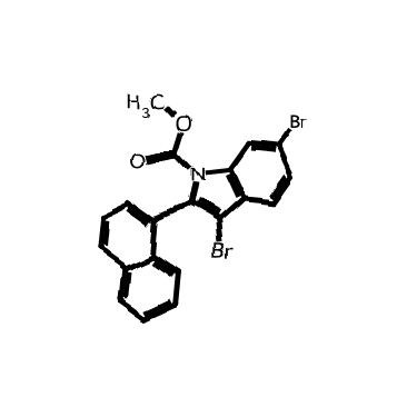 COC(=O)n1c(-c2cccc3ccccc23)c(Br)c2ccc(Br)cc21